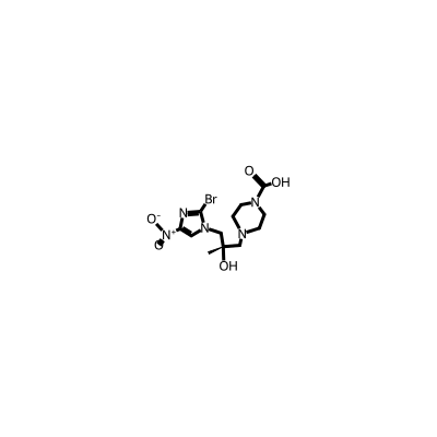 C[C@](O)(CN1CCN(C(=O)O)CC1)Cn1cc([N+](=O)[O-])nc1Br